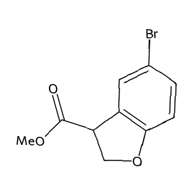 COC(=O)C1COc2ccc(Br)cc21